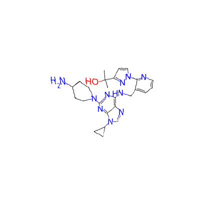 CC(C)(O)c1ccn(-c2ncccc2CNc2nc(N3CCC(N)CC3)nc3c2ncn3C2CC2)n1